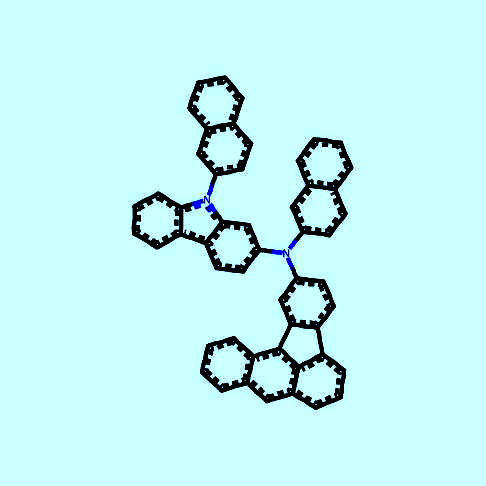 c1ccc2cc(N(c3ccc4c(c3)-c3c5ccccc5cc5cccc-4c35)c3ccc4c5ccccc5n(-c5ccc6ccccc6c5)c4c3)ccc2c1